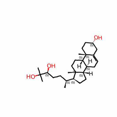 C[C@@H](CC[C@H](O)C(C)(C)O)[C@@H]1CC[C@H]2[C@@H]3CC=C4C[C@@H](O)CC[C@@]4(C)[C@H]3CC[C@]21C